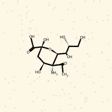 CC(=O)[C@@]1(N)[C@@H](O)C[C@](O)(C(=O)O)O[C@H]1[C@H](O)[C@H](O)CO